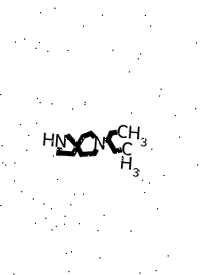 CCC(CC)N1CCC2(CCNC2)CC1